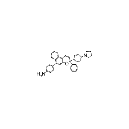 Nc1ccc(-c2cc3c(c4ccccc24)C=CC(c2ccccc2)(c2ccc(N4CCCC4)cc2)O3)cc1